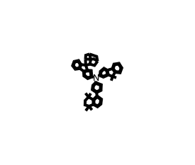 CC1(C)CCC(C)(C)c2c(-c3ccc(N(c4ccc5c(c4)C(C)(C)c4ccccc4-5)c4ccc5c(c4)C4(c6ccccc6-5)C5CC6CC7CC4C75C6)cc3)cccc21